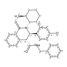 N[C@H]1CCCC[C@@H]1N1C(=O)c2ccccc2[C@@H](C(=O)NCc2ccccc2)[C@@H]1c1ccc(Cl)cc1Cl